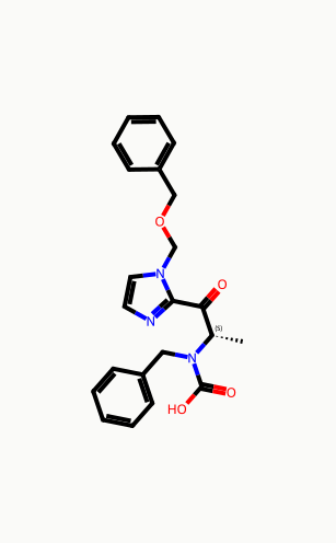 C[C@@H](C(=O)c1nccn1COCc1ccccc1)N(Cc1ccccc1)C(=O)O